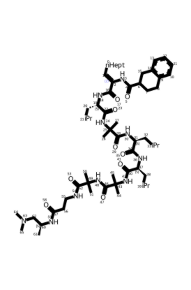 CCCCCCC/C=C(\NC(=O)C1CCc2ccccc2C1)C(=O)N[C@@H](CC(C)C)C(=O)NC(C)(C)C(=O)N[C@@H](CC(C)C)C(=O)N[C@@H](CC(C)C)C(=O)NC(C)(C)C(=O)NC(C)(C)C(=O)NCCC(=O)N[C@@H](C)CN(C)C